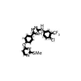 CSc1nccc(Oc2ccc(-c3nnc(Nc4ccc(Cl)c(C(F)(F)F)c4)[nH]3)cc2)n1